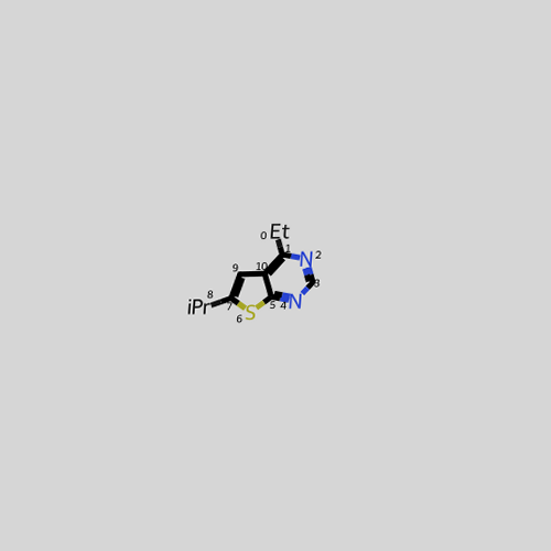 CCc1ncnc2sc(C(C)C)cc12